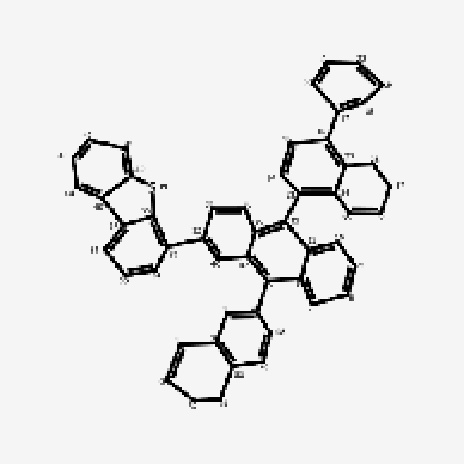 C1=Cc2cc(-c3c4ccccc4c(-c4ccc(-c5ccccc5)c5c4C=CCC5)c4ccc(-c5cccc6c5sc5ccccc56)cc34)ccc2CC1